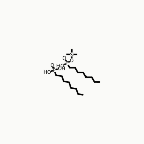 CCCCCCCCP(=O)(O)O.CCCCCCCCP(=O)(O)O[Si](C)(C)C